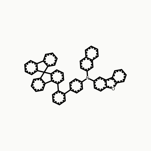 c1ccc(-c2cccc3c2-c2ccccc2C32c3ccccc3-c3ccccc32)c(-c2ccc(N(c3ccc4ccccc4c3)c3ccc4oc5ccccc5c4c3)cc2)c1